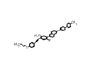 CCCCOc1ccc(C#Cc2cc(F)c(-c3ccc4cc(-c5ccc(-c6ccc(C)cc6)cc5)ccc4c3)cc2C)cc1